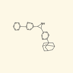 c1ccc(-c2ccc(C3NC3c3ccc(C45CC6CC(CC(C6)C4)C5)cc3)cc2)cc1